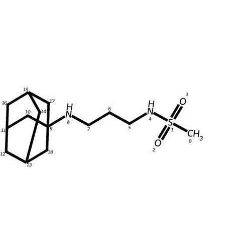 CS(=O)(=O)NCCCNC12CC3CC(CC(C3)C1)C2